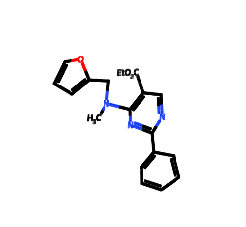 CCOC(=O)c1cnc(-c2ccccc2)nc1N(C)Cc1ccco1